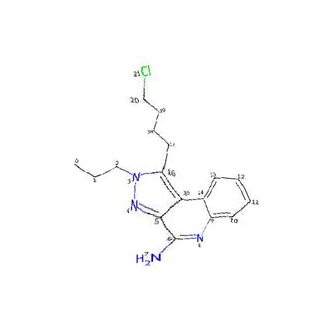 CCCn1nc2c(N)nc3ccccc3c2c1CCCCCl